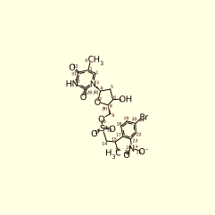 Cc1cn([C@H]2CC(O)[C@@H](COS(=O)(=O)CC(C)c3ccc(Br)cc3[N+](=O)[O-])O2)c(=O)[nH]c1=O